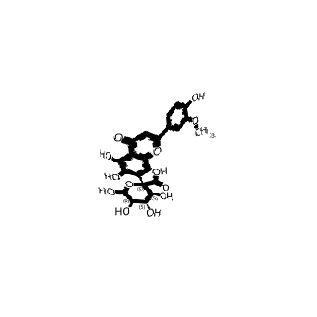 COc1cc(-c2cc(=O)c3c(O)c(O)c([C@]4(C(=O)O)OC(O)[C@H](O)[C@@H](O)[C@@H]4O)cc3o2)ccc1O